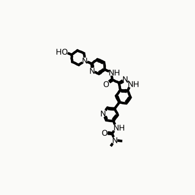 CN(C)C(=O)Nc1cncc(-c2ccc3[nH]nc(C(=O)Nc4ccc(N5CCC(O)CC5)nc4)c3c2)c1